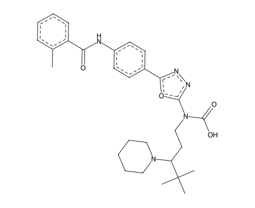 Cc1ccccc1C(=O)Nc1ccc(-c2nnc(N(CCC(N3CCCCC3)C(C)(C)C)C(=O)O)o2)cc1